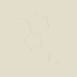 Cc1cc(C)c2c(c1)C(CC(=O)O)CN2